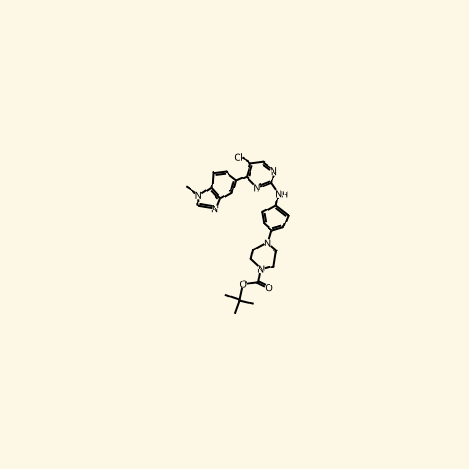 Cn1cnc2cc(-c3nc(Nc4ccc(N5CCN(C(=O)OC(C)(C)C)CC5)cc4)ncc3Cl)ccc21